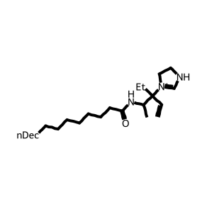 C=CC(CC)(C(C)NC(=O)CCCCCCCCCCCCCCCCC)[N+]1=CNCC1